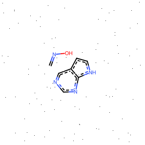 C=NO.c1ncc2cc[nH]c2n1